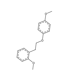 COc1ccc(OCCc2ccccc2OC)cc1